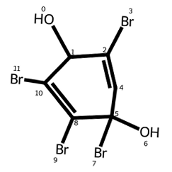 OC1C(Br)=CC(O)(Br)C(Br)=C1Br